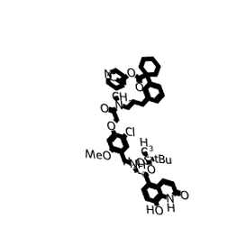 COc1cc(OCC(=O)N(C)CCCc2cccc(C3(C(=O)OC4CN5CCC4CC5)CCCCC3)c2)c(Cl)cc1CNC[C@H](O[Si](C)(C)C(C)(C)C)c1ccc(O)c2[nH]c(=O)ccc12